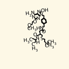 CCC(CC)NC(=O)C(CSCCN(C)C)CC(=O)NCc1ccc(Cn2c(O)nc3c(N)nc(OCCOC)nc32)cc1